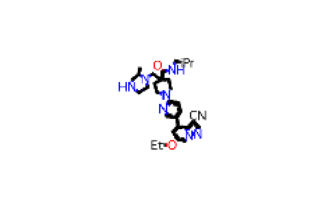 CCOc1cc(-c2ccc(N3CCC(CN4CCNCC4C)(C(=O)NCC(C)C)CC3)nc2)c2c(C#N)cnn2c1